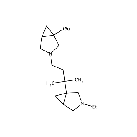 CCN1CC2CC2(C(C)(C)CCN2CC3CC3(C(C)(C)C)C2)C1